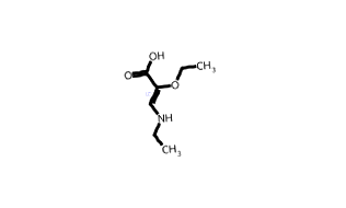 CCN/C=C(\OCC)C(=O)O